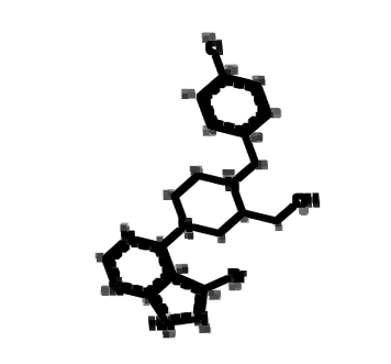 OCC1CN(c2ncnc3[nH]nc(Br)c23)CCN1Cc1ccc(Cl)cc1